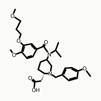 COCCCOc1cc(C(=O)N(C(C)C)C2CC[C@@H](CC(=O)O)N(Cc3ccc(OC)cc3)C2)ccc1OC